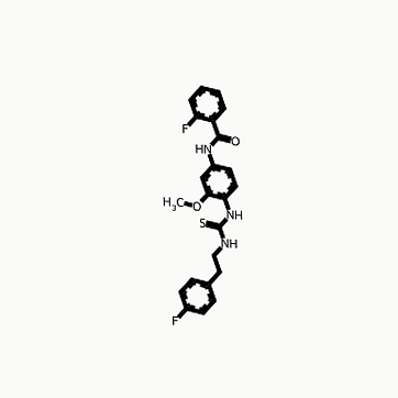 COc1cc(NC(=O)c2ccccc2F)ccc1NC(=S)NCCc1ccc(F)cc1